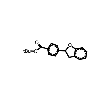 CC(C)(C)OC(=O)c1ccc(C2Cc3ccccc3O2)cc1